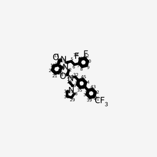 O=C(Cn1c(CCc2cccc(F)c2F)nc(=O)c2ccccc21)N(CCN1CCCC1)Cc1ccc(-c2ccc(C(F)(F)F)cc2)cc1